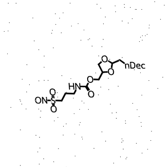 CCCCCCCCCCCC1OCC(COC(=O)NCCCS(=O)(=O)N=O)O1